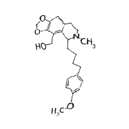 COc1ccc(CCCCC2c3c(cc4c(c3CO)OCO4)CCN2C)cc1